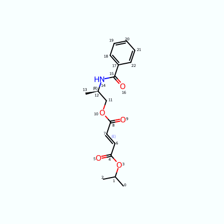 CC(C)OC(=O)/C=C/C(=O)OC[C@@H](C)NC(=O)c1ccccc1